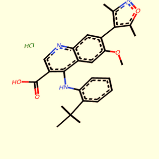 COc1cc2c(Nc3ccccc3C(C)(C)C)c(C(=O)O)cnc2cc1-c1c(C)noc1C.Cl